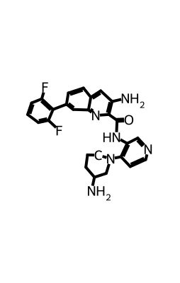 Nc1cc2ccc(-c3c(F)cccc3F)cc2nc1C(=O)Nc1cnccc1N1CCCC(N)C1